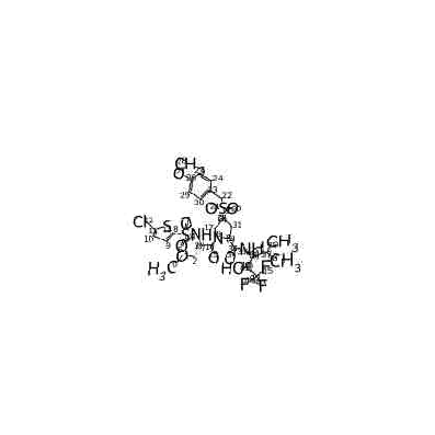 COC[C@H](NS(=O)(=O)c1ccc(Cl)s1)C(=O)N1C[C@H](S(=O)(=O)Cc2ccc(OC)cc2)C[C@H]1C(=O)N[C@@H](C(C)C)[C@H](O)C(F)(F)F